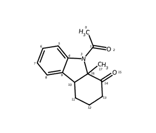 CC(=O)N1c2ccccc2C2CCCC(=O)C21C